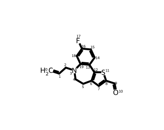 C=CCN1CCc2cc(C=O)sc2-c2ccc(F)cc21